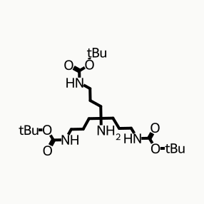 CC(C)(C)OC(=O)NCCCC(N)(CCCNC(=O)OC(C)(C)C)CCCNC(=O)OC(C)(C)C